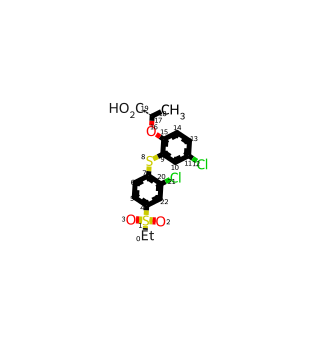 CCS(=O)(=O)c1ccc(Sc2cc(Cl)ccc2O[C@@H](C)C(=O)O)c(Cl)c1